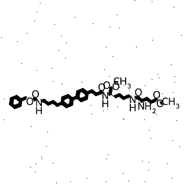 COC(=O)CC[C@H](N)C(=O)NCCCC[C@H](NC(=O)CCc1ccc(-c2ccc(CCCCNC(=O)OCc3ccccc3)cc2)cc1)C(=O)OC